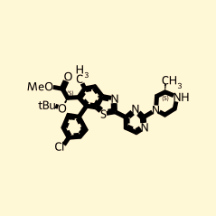 COC(=O)[C@@H](OC(C)(C)C)c1c(C)cc2nc(-c3ccnc(N4CCN[C@@H](C)C4)n3)sc2c1-c1ccc(Cl)cc1